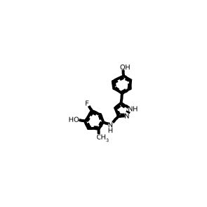 Cc1cc(O)c(F)cc1Nc1cc(-c2ccc(O)cc2)[nH]n1